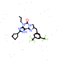 CCCN1C(=O)N2CC(Cc3cc(C(F)(F)F)cc(C(F)(F)F)c3)N=C2c2[nH]c(C3CCCC3)nc21